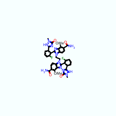 COc1c(C(N)=O)ccc2c1nc(-c1c(F)cccc1-c1nc(=O)n(C)[nH]1)n2CCn1c(-c2c(F)cccc2-c2nc(=O)n(C)[nH]2)nc2c(OC)c(C(N)=O)ccc21